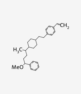 C=Cc1ccc(CCC2CCC(C(C)CCC(OC)c3ccccc3)CC2)cc1